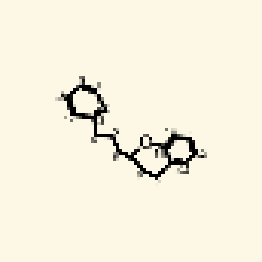 c1ccc(CCCC2CCc3ccccc3O2)cc1